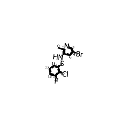 Cc1ncc(Br)cc1NSc1cccc(F)c1Cl